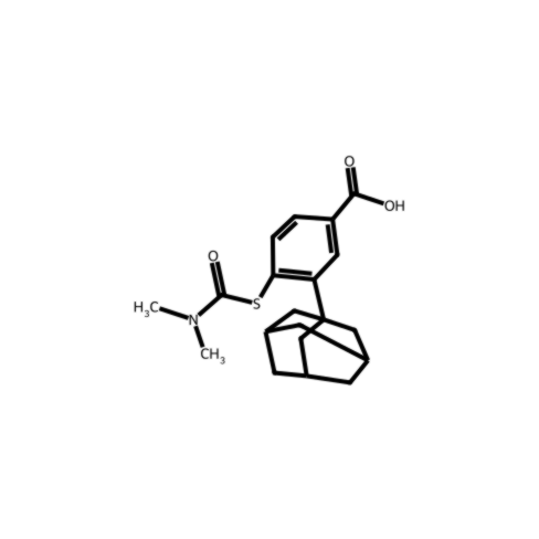 CN(C)C(=O)Sc1ccc(C(=O)O)cc1C12CC3CC(CC(C3)C1)C2